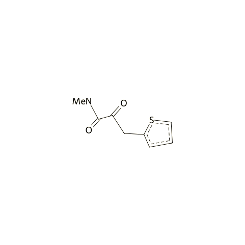 [CH2]NC(=O)C(=O)Cc1cccs1